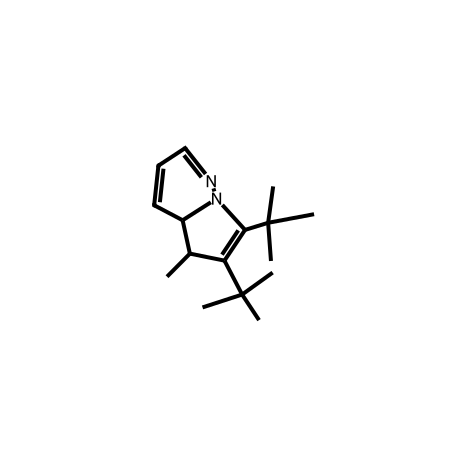 CC1C(C(C)(C)C)=C(C(C)(C)C)N2N=CC=CC12